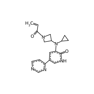 C=CC(=O)N1CC(N(c2cc(-c3ccncn3)c[nH]c2=O)C2CC2)C1